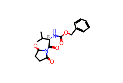 CC(C)[C@H](NC(=O)OCc1ccccc1)C(=O)N1C(=O)CCC1=O